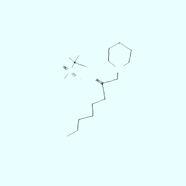 CCCCCCC(=O)C[S+]1CCCCC1.O=S(=O)([O-])C(F)(F)F